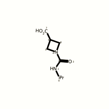 CC(C)NC(=O)N1CC(C(=O)O)C1